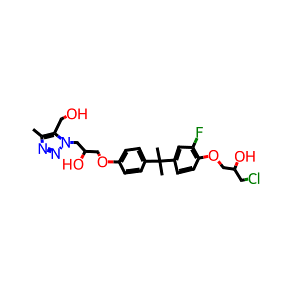 Cc1nnn(CC(O)COc2ccc(C(C)(C)c3ccc(OCC(O)CCl)c(F)c3)cc2)c1CO